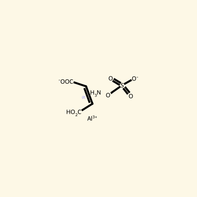 N.O=C([O-])/C=C\C(=O)O.O=S(=O)([O-])[O-].[Al+3]